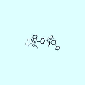 CC(C)P(=O)(O)c1ccccc1Cc1ccc(C(=O)Nc2cc(-c3cccs3)ccc2N)cc1